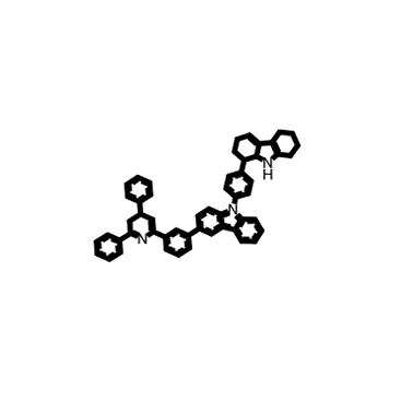 C1=C(c2cccc(-c3ccc4c(c3)c3ccccc3n4-c3ccc(C4CCC=C5C6=C(CCCC6)NC54)cc3)c2)N=C(c2ccccc2)CC1c1ccccc1